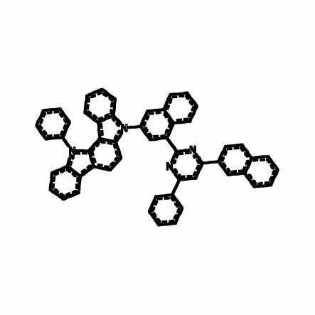 c1ccc(-c2cc(-c3ccc4ccccc4c3)nc(-c3cc(-n4c5ccccc5c5c4ccc4c6ccccc6n(-c6ccccc6)c45)cc4ccccc34)n2)cc1